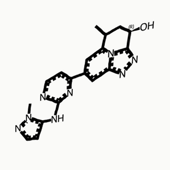 CC1C[C@@H](O)c2nnc3cc(-c4ccnc(Nc5ccnn5C)n4)cc1n23